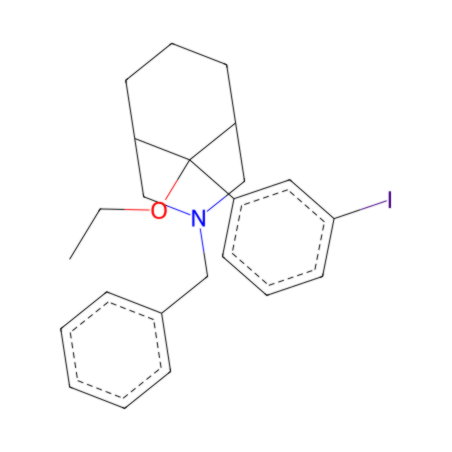 CCOC1(c2cccc(I)c2)C2CCCC1CN(Cc1ccccc1)C2